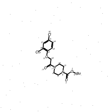 CC(C)(C)OC(=O)N1CCN(C(=O)COc2ccc(Cl)cc2Cl)CC1